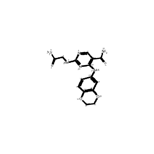 NC(=O)CNc1ncc(C(N)=O)c(Nc2ccc3c(c2)OCCO3)n1